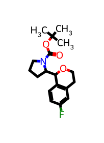 CC(C)(C)OC(=O)N1CCCC1C1OCCc2cc(F)ccc21